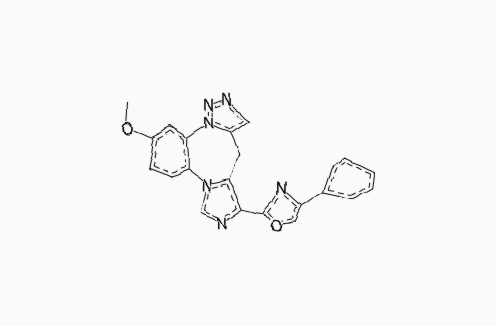 COc1ccc2c(c1)-n1nncc1Cc1c(-c3nc(-c4ccccc4)co3)ncn1-2